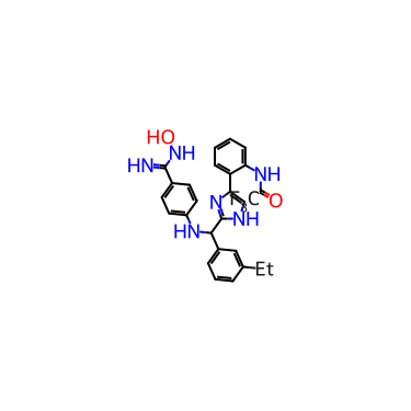 CCc1cccc(C(Nc2ccc(C(=N)NO)cc2)c2nc(-c3ccccc3NC(=O)C(F)(F)F)c[nH]2)c1